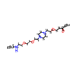 CC(C)(C)NCCOCCOCCN1CCN(CCOCCC(=O)C(C)(C)C)CC1